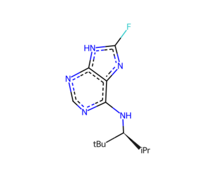 CC(C)[C@H](Nc1ncnc2[nH]c(F)nc12)C(C)(C)C